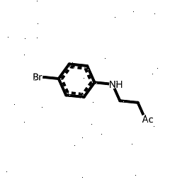 CC(=O)CCNc1ccc(Br)cc1